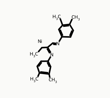 CCC(C=Nc1ccc(C)c(C)c1)=Nc1ccc(C)c(C)c1.[Ni]